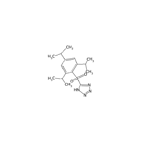 CC(C)c1cc(C(C)C)c(S(=O)(=O)c2nnn[nH]2)c(C(C)C)c1